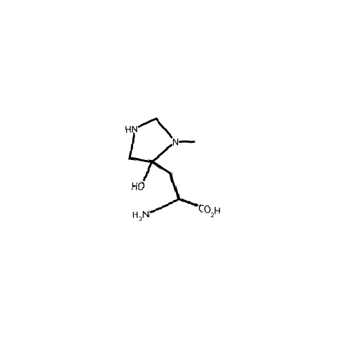 CN1CNCC1(O)CC(N)C(=O)O